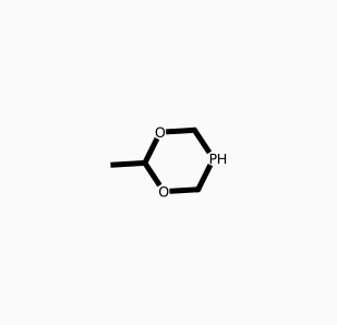 CC1OCPCO1